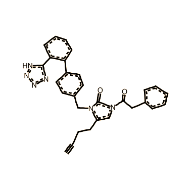 C#CCCc1cn(C(=O)Cc2ccccc2)c(=O)n1Cc1ccc(-c2ccccc2-c2nnn[nH]2)cc1